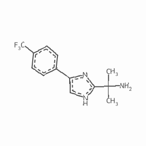 CC(C)(N)c1nc(-c2ccc(C(F)(F)F)cc2)c[nH]1